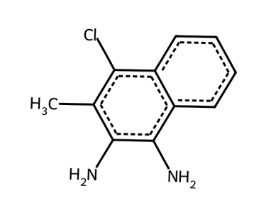 Cc1c(N)c(N)c2ccccc2c1Cl